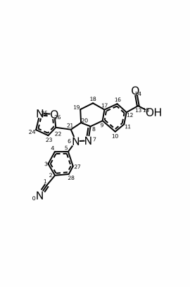 N#Cc1ccc(N2N=C3c4ccc(C(=O)O)cc4CCC3C2c2ccno2)cc1